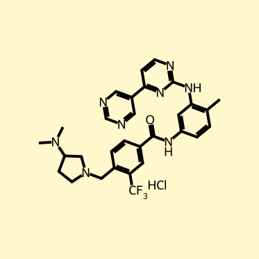 Cc1ccc(NC(=O)c2ccc(CN3CCC(N(C)C)C3)c(C(F)(F)F)c2)cc1Nc1nccc(-c2cncnc2)n1.Cl